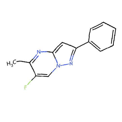 Cc1nc2cc(-c3ccccc3)nn2cc1F